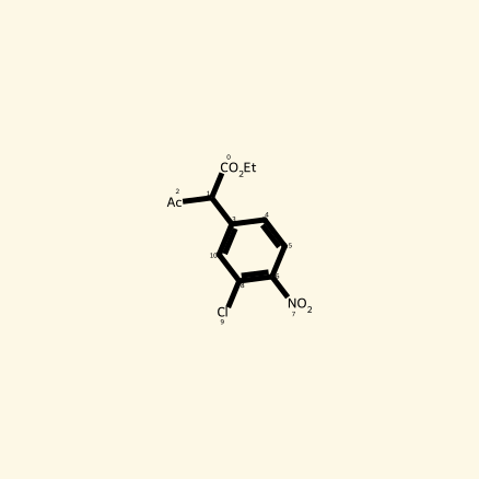 CCOC(=O)C(C(C)=O)c1ccc([N+](=O)[O-])c(Cl)c1